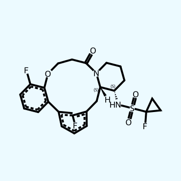 O=C1CCOc2c(F)cccc2-c2cccc(c2F)C[C@H]2[C@@H](NS(=O)(=O)C3(F)CC3)CCCN12